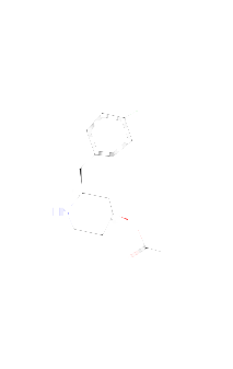 O=C(O[C@H]1CCN[C@@H](Cc2ccc(Cl)cc2)C1)C(F)(F)F